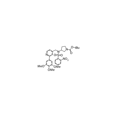 COc1cc(-c2cc(CN(C3CCN(C(=O)OC(C)(C)C)C3)S(=O)(=O)c3ccccc3[N+](=O)[O-])ccn2)cc(OC)c1OC